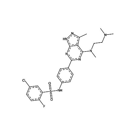 Cc1n[nH]c2nc(-c3ccc(NS(=O)(=O)c4cc(Cl)ccc4F)cc3)nc(N(C)CCN(C)C)c12